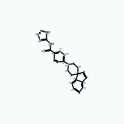 O=C(Nc1nnn[nH]1)c1ccc(N2CCC3(C=Cc4ccccc43)CC2)nn1